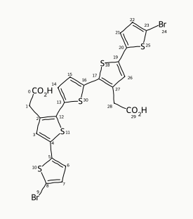 O=C(O)Cc1cc(-c2ccc(Br)s2)sc1-c1ccc(-c2sc(-c3ccc(Br)s3)cc2CC(=O)O)s1